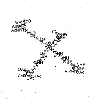 CC(=O)NC1C(OCCCCC(=O)NCCCNC(=O)CCOCC(COCCC(=O)NCCCNC(=O)CCCCOC2OC(COC(C)=O)C(OC(C)=O)C(OC(C)=O)C2NC(C)=O)(COCCC(=O)NCCCNC(=O)CCCCOC2OC(COC(C)=O)C(OC(C)=O)C(OC(C)=O)C2NC(C)=O)NC(=O)C2CCC(OP(NC(C(C)C)C(C)C)OCCC#N)CC2)OC(COC(C)=O)C(OC(C)=O)C1OC(C)=O